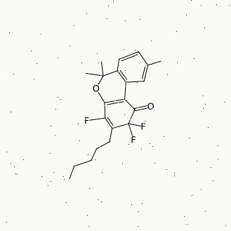 CCCCCC1=C(F)C2=C(C(=O)C1(F)F)c1cc(C)ccc1C(C)(C)O2